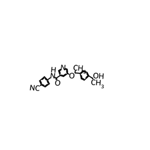 CC(O)c1ccc(C(C)Oc2cncc(C(=O)Nc3ccc(C#N)cc3)c2)cc1